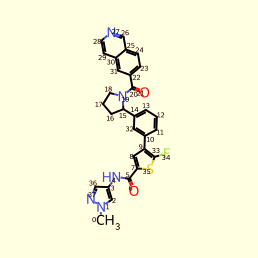 Cn1cc(NC(=O)c2cc(-c3cccc(C4CCCN4C(=O)c4ccc5cnccc5c4)c3)c(F)s2)cn1